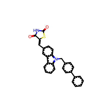 O=C1NC(=O)/C(=C/c2ccc3c(c2)c2ccccc2n3Cc2ccc(-c3ccccc3)cc2)S1